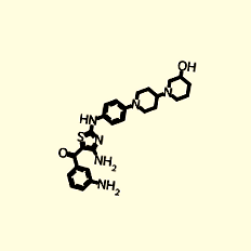 Nc1cccc(C(=O)c2sc(Nc3ccc(N4CCC(N5CCCC(O)C5)CC4)cc3)nc2N)c1